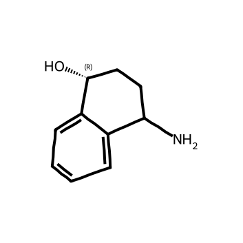 NC1CC[C@@H](O)c2ccccc21